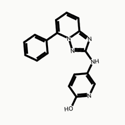 Oc1ccc(Nc2nc3cccc(-c4ccccc4)n3n2)cn1